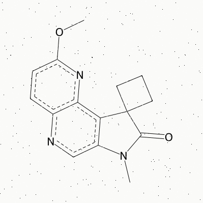 COc1ccc2ncc3c(c2n1)C1(CCC1)C(=O)N3C